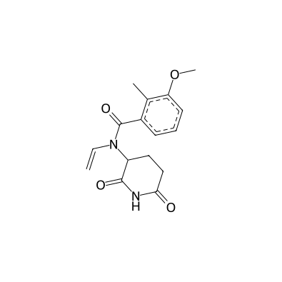 C=CN(C(=O)c1cccc(OC)c1C)C1CCC(=O)NC1=O